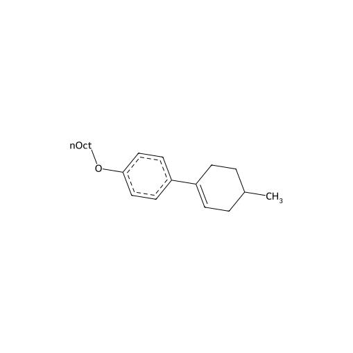 CCCCCCCCOc1ccc(C2=CCC(C)CC2)cc1